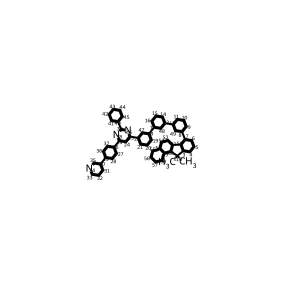 CC1(C)c2cccc(-c3cccc(-c4cccc(-c5cccc(-c6cc(-c7ccc(-c8cccnc8)cc7)nc(-c7ccccc7)n6)c5)c4)c3)c2-c2ccc3ccccc3c21